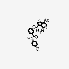 CC(=O)c1cnc(N)c2c(COc3cccc(C(=O)Nc4ccc(Cl)cc4)c3)csc12